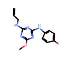 C=CCNc1nc(Nc2ccc(I)cc2)nc(OC)n1